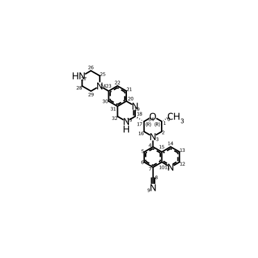 C[C@@H]1CN(c2ccc(C#N)c3ncccc23)C[C@H](C2=Nc3ccc(N4CCNCC4)cc3CN2)O1